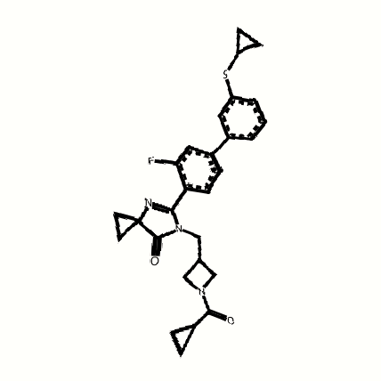 O=C(C1CC1)N1CC(CN2C(=O)C3(CC3)N=C2c2ccc(-c3cccc(SC4CC4)c3)cc2F)C1